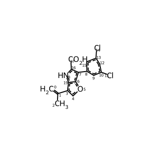 C=C(C)c1coc2c(-c3cc(Cl)cc(Cl)c3)c(C(=O)O)[nH]c12